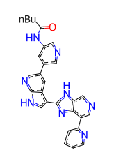 CCCCC(=O)Nc1cncc(-c2cnc3[nH]cc(-c4nc5c(-c6ccccn6)cncc5[nH]4)c3c2)c1